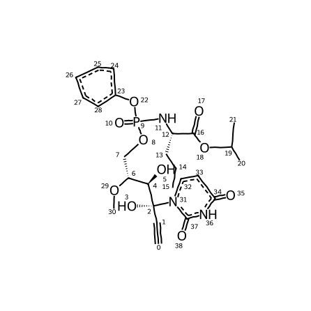 C#C[C@@](O)([C@H](O)[C@@H](COP(=O)(N[C@@H](CCC)C(=O)OC(C)C)Oc1ccccc1)OC)n1ccc(=O)[nH]c1=O